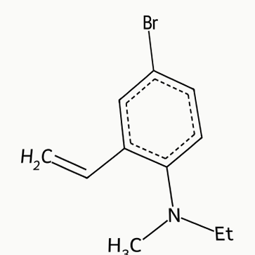 C=Cc1cc(Br)ccc1N(C)CC